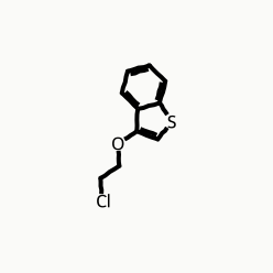 ClCCOc1csc2ccccc12